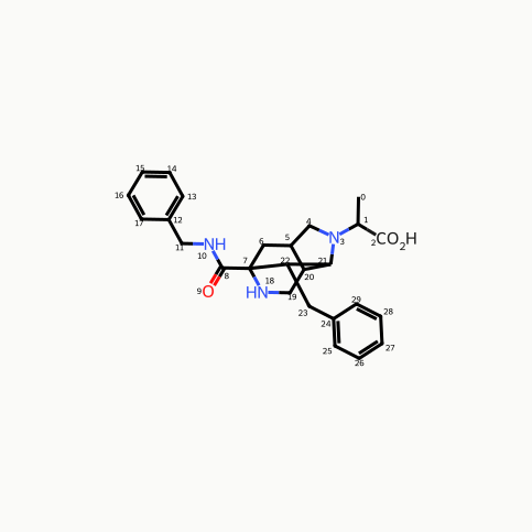 CC(C(=O)O)N1CC2CC3(C(=O)NCc4ccccc4)NCC2C1C3Cc1ccccc1